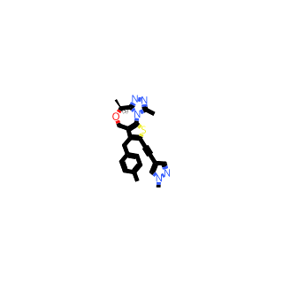 Cc1ccc(Cc2c(C#Cc3cnn(C)c3)sc3c2CO[C@@H](C)c2nnc(C)n2-3)cc1